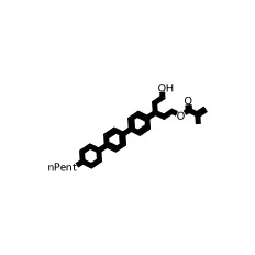 C=C(C)C(=O)OCCC(CCO)c1ccc(-c2ccc(C3CCC(CCCCC)CC3)cc2)cc1